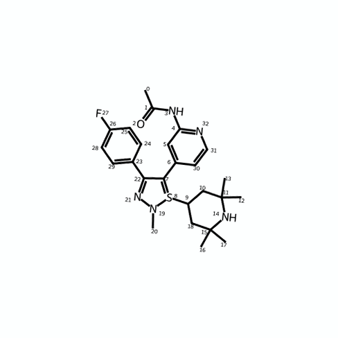 CC(=O)Nc1cc(C2=S(C3CC(C)(C)NC(C)(C)C3)N(C)N=C2c2ccc(F)cc2)ccn1